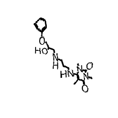 Cc1c(NCCCNCC(O)COc2ccccc2)n(C)c(=O)n(C)c1=O